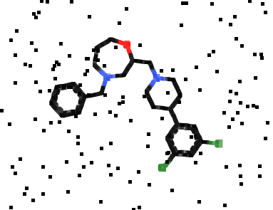 Clc1cc(Cl)cc(C2CCN(CC3CN(Cc4ccccc4)CCCO3)CC2)c1